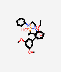 C=C(C(Cc1cc(OC)cc(OC)c1)C(=O)OCC)[PH]1(O)N(c2ccccc2)CCN1c1ccccc1